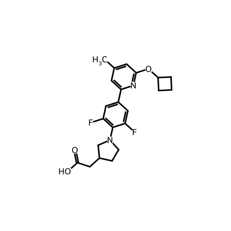 Cc1cc(OC2CCC2)nc(-c2cc(F)c(N3CCC(CC(=O)O)C3)c(F)c2)c1